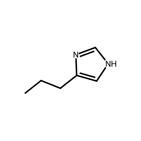 CCCc1c[nH]cn1